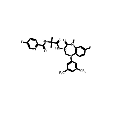 CN1C(=O)[C@H](NC(=O)C(C)(C)NC(=O)c2ccc(F)cn2)CN(c2cc(C(F)(F)F)cc(C(F)(F)F)c2)c2ccc(F)cc21